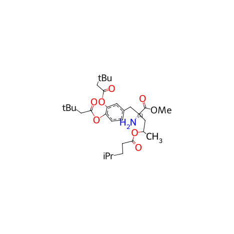 COC(=O)[C@](N)(Cc1ccc(OC(=O)CC(C)(C)C)c(OC(=O)CC(C)(C)C)c1)CC(C)OC(=O)CCC(C)C